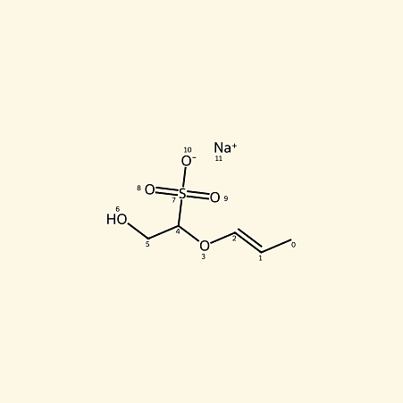 CC=COC(CO)S(=O)(=O)[O-].[Na+]